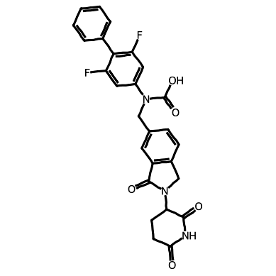 O=C1CCC(N2Cc3ccc(CN(C(=O)O)c4cc(F)c(-c5ccccc5)c(F)c4)cc3C2=O)C(=O)N1